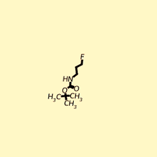 CC(C)(C)OC(=O)NCCCF